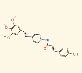 COc1cc(/C=C/c2ccc(NC(=O)/C=C/c3ccc(O)cc3)cc2)cc(OC)c1OC